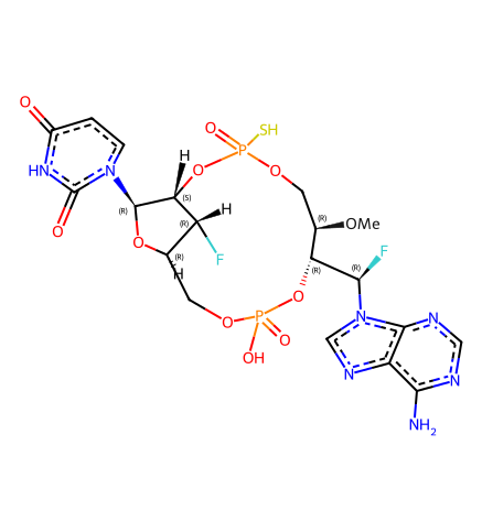 CO[C@@H]1COP(=O)(S)O[C@@H]2[C@H](F)[C@@H](COP(=O)(O)O[C@H]1[C@@H](F)n1cnc3c(N)ncnc31)O[C@H]2n1ccc(=O)[nH]c1=O